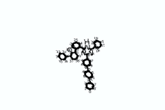 c1ccc(-c2ccc(-c3ccc(C4=NC(c5ccccc5)NC(c5cccc6oc7c(-c8ccccc8)cccc7c56)=N4)cc3)cc2)cc1